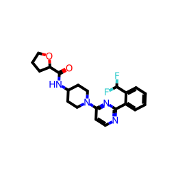 O=C(NC1CCN(c2ccnc(-c3ccccc3C(F)F)n2)CC1)C1CCCO1